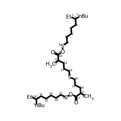 CCCCC(CC)CCCCCSOC(=O)C(C)CCCSCCCC(C)C(=O)OSCCCCCC(CC)CCCC